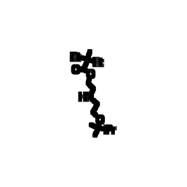 CCC(C)(CC)C(=O)OCCNCCOC(C)(C)C(C)C